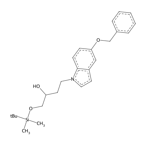 CC(C)(C)[Si](C)(C)OCC(O)CCn1ccc2cc(OCc3ccccc3)ccc21